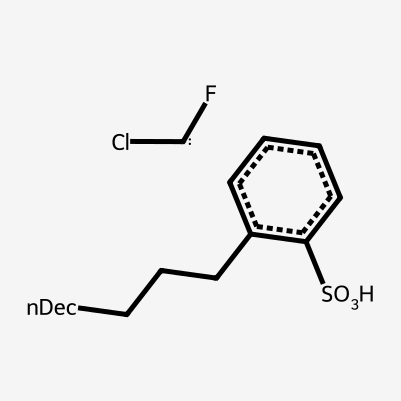 CCCCCCCCCCCCCc1ccccc1S(=O)(=O)O.F[C]Cl